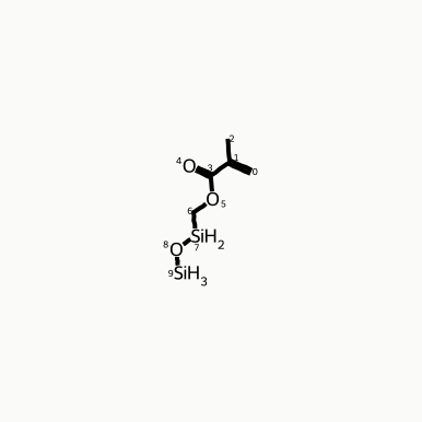 C=C(C)C(=O)OC[SiH2]O[SiH3]